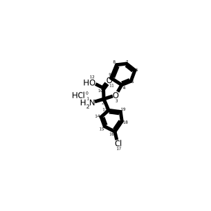 Cl.NC(Oc1ccccc1)(C(=O)O)c1ccc(Cl)cc1